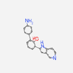 Nc1ccc(-c2cccc(-c3cc4cnccc4[nH]3)c2O)cc1